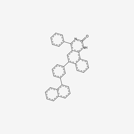 O=c1nc(-c2ccccc2)c2cc(-c3cccc(-c4cccc5ccccc45)c3)c3ccccc3c2[nH]1